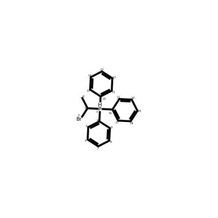 CC(Br)[PH](c1ccccc1)(c1ccccc1)c1ccccc1